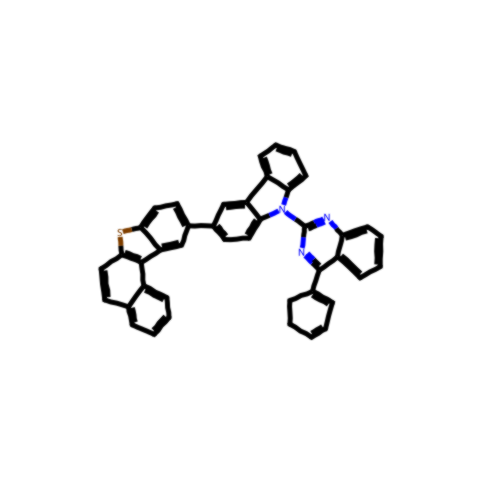 C1=CCCC(c2nc(-n3c4ccccc4c4cc(-c5ccc6sc7ccc8ccccc8c7c6c5)ccc43)nc3ccccc23)=C1